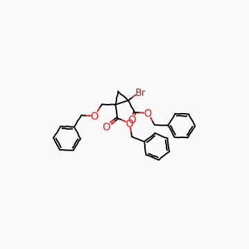 O=C(OCc1ccccc1)C1(Br)CC1(COCc1ccccc1)C(=O)OCc1ccccc1